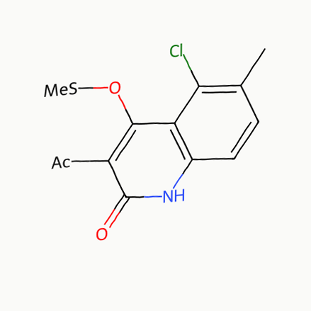 CSOc1c(C(C)=O)c(=O)[nH]c2ccc(C)c(Cl)c12